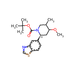 COC1C[C@@H](c2ccc3scnc3c2)N(C(=O)OC(C)(C)C)CC1C